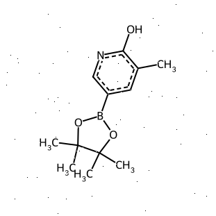 Cc1cc(B2OC(C)(C)C(C)(C)O2)cnc1O